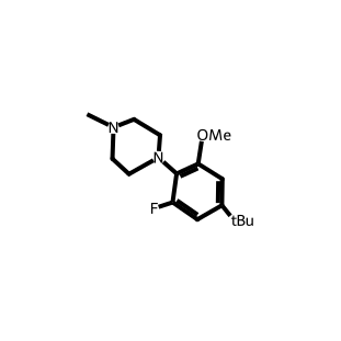 COc1cc(C(C)(C)C)cc(F)c1N1CCN(C)CC1